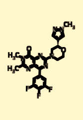 Cc1nc2c(-c3cc(F)c(F)c(F)c3)nc(N3CCO[C@@H](c4cnn(C)c4)C3)nc2c(=O)n1C